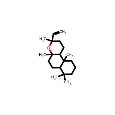 C=CC1(C)CCC2C(C)(CCC3C(C)(C)CCCC32C)O1